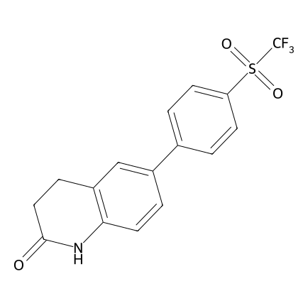 O=C1CCc2cc(-c3ccc(S(=O)(=O)C(F)(F)F)cc3)ccc2N1